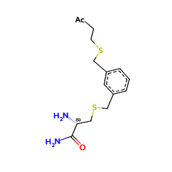 CC(=O)CCSCc1cccc(CSC[C@@H](N)C(N)=O)c1